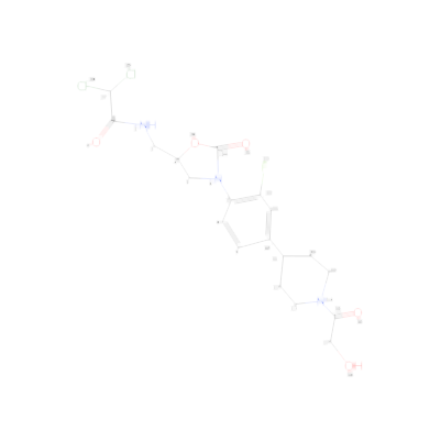 O=C(NCC1CN(c2ccc(C3CCN(C(=O)CO)CC3)cc2F)C(=O)O1)C(Cl)Cl